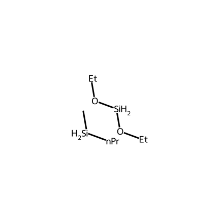 CCC[SiH2]C.CCO[SiH2]OCC